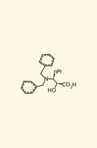 CCC[C@@H]([C@H](O)C(=O)O)N(Cc1ccccc1)Cc1ccccc1